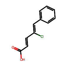 O=C(O)/C=C/C(Cl)=C/c1ccccc1